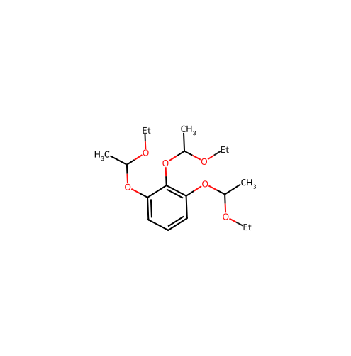 CCOC(C)Oc1cccc(OC(C)OCC)c1OC(C)OCC